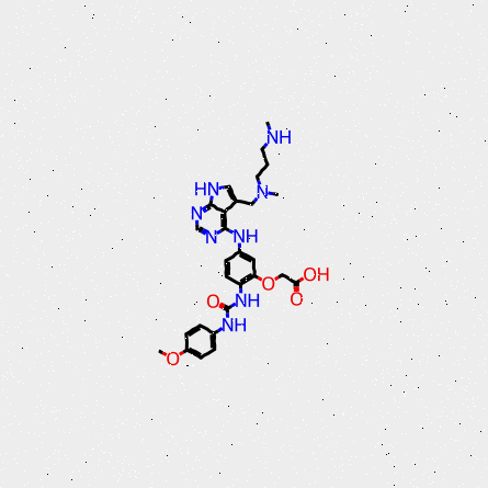 CNCCCN(C)Cc1c[nH]c2ncnc(Nc3ccc(NC(=O)Nc4ccc(OC)cc4)c(OCC(=O)O)c3)c12